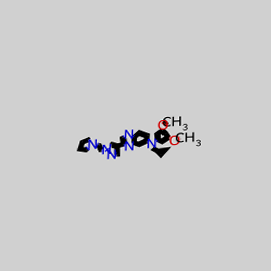 COc1cc(OC)cc(N(CC2CC2)c2ccc3ncc(-c4cnn(CCN5CCCC5)c4)nc3c2)c1